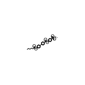 CCCCCC(=O)Oc1ccc(-c2ccc(C(=O)Oc3ccc([N+](=O)[O-])cc3)cc2)cc1